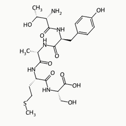 CSCC[C@H](NC(=O)[C@H](C)NC(=O)[C@H](Cc1ccc(O)cc1)NC(=O)[C@@H](N)[C@@H](C)O)C(=O)N[C@@H](CO)C(=O)O